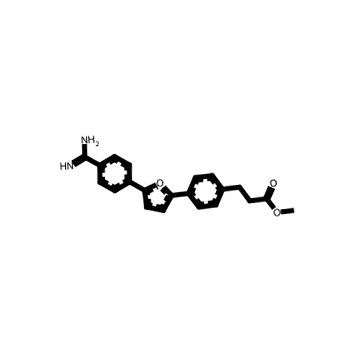 COC(=O)CCc1ccc(-c2ccc(-c3ccc(C(=N)N)cc3)o2)cc1